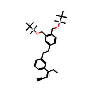 C#C/C=C(/CC)c1cccc(CCc2ccc(CO[Si](C)(C)C(C)(C)C)c(CO[Si](C)(C)C(C)(C)C)c2)c1